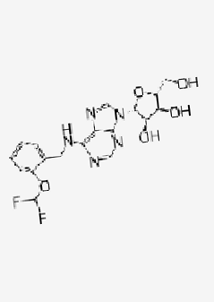 OC[C@H]1O[C@@H](n2cnc3c(NCc4ccccc4OC(F)F)ncnc32)[C@H](O)[C@@H]1O